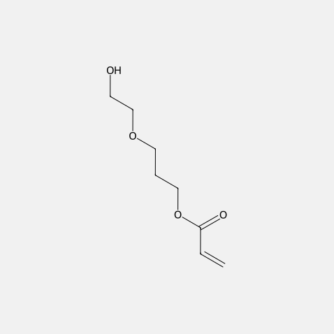 C=CC(=O)OCCCOCCO